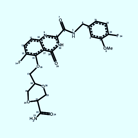 COc1cc(CNC(=O)c2nc3ccc(F)c(OCC4COC(C(N)=O)CO4)c3c(=O)[nH]2)ccc1F